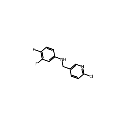 Fc1ccc(NCc2ccc(Cl)nc2)cc1F